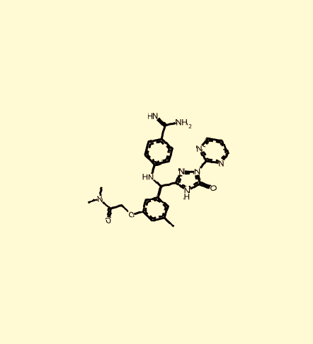 Cc1cc(OCC(=O)N(C)C)cc(C(Nc2ccc(C(=N)N)cc2)c2nn(-c3ncccn3)c(=O)[nH]2)c1